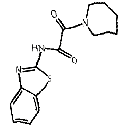 O=C(Nc1nc2ccccc2s1)C(=O)N1CCCCC1